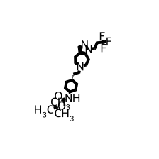 CC(C)(C)OC(=O)N[C@H]1CC[C@H](CCN2CCc3cnn(CCC(F)(F)F)c3CC2)CC1